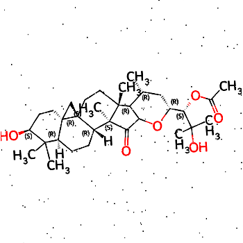 CC(=O)O[C@@H]([C@H]1C[C@@H](C)C2C(O1)C(=O)[C@@]1(C)[C@@H]3CC[C@H]4C(C)(C)[C@@H](O)CC[C@@]45C[C@@]35CC[C@]21C)C(C)(C)O